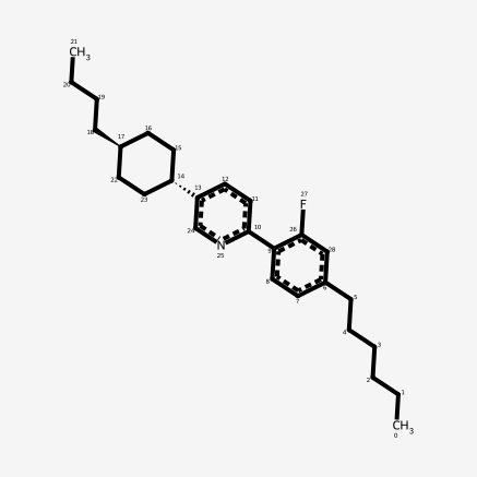 CCCCCCc1ccc(-c2ccc([C@H]3CC[C@H](CCCC)CC3)cn2)c(F)c1